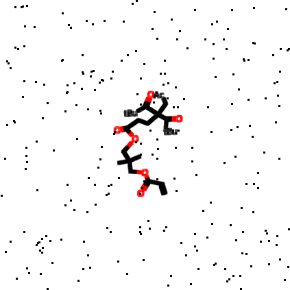 C=CC(=O)OCC(C)(C)COC(=O)CCC(CC(C)=O)(C(=O)C(C)(C)C)C(=O)C(C)(C)C